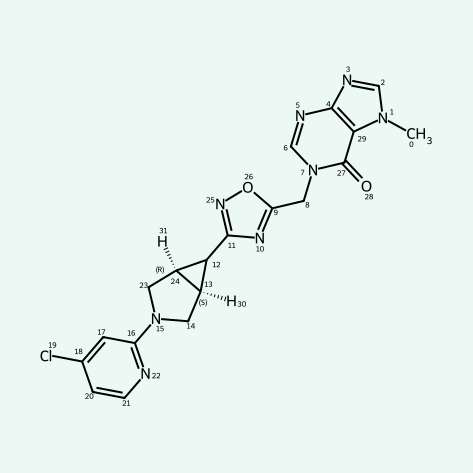 Cn1cnc2ncn(Cc3nc(C4[C@H]5CN(c6cc(Cl)ccn6)C[C@@H]45)no3)c(=O)c21